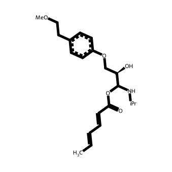 C/C=C/C=C/C(=O)OC(NC(C)C)[C@H](O)COc1ccc(CCOC)cc1